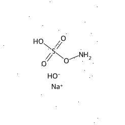 NOS(=O)(=O)O.[Na+].[OH-]